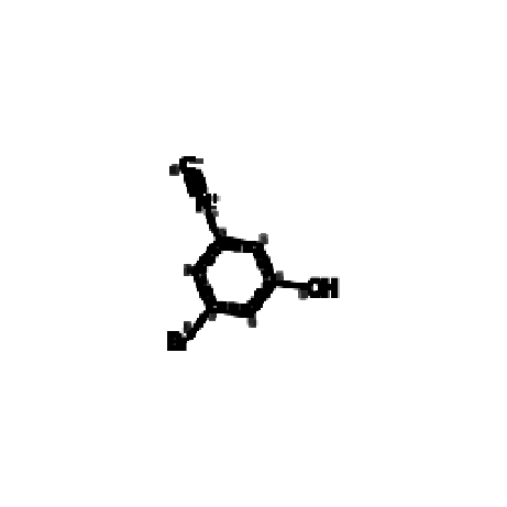 [C-]#[N+]c1cc(O)cc(Br)c1